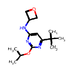 CC(C)Oc1nc(NC2COC2)cc(C(C)(C)C)n1